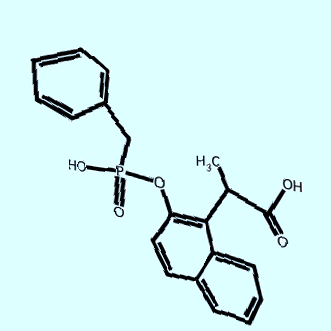 CC(C(=O)O)c1c(OP(=O)(O)Cc2ccccc2)ccc2ccccc12